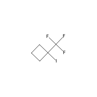 FC(F)(F)C1(I)CCC1